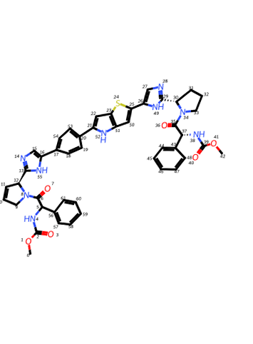 COC(=O)NC(C(=O)N1CC=C[C@H]1c1ncc(-c2ccc(-c3cc4sc(-c5cnc([C@@H]6CCCN6C(=O)[C@H](NC(=O)OC)c6ccccc6)[nH]5)cc4[nH]3)cc2)[nH]1)c1ccccc1